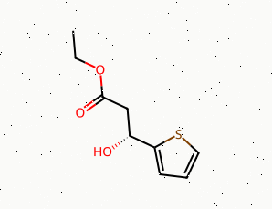 CCOC(=O)C[C@@H](O)c1cccs1